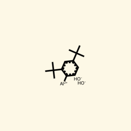 CC(C)(C)c1cc[c]([Al+2])c(C(C)(C)C)c1.[OH-].[OH-]